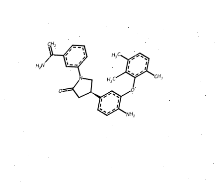 C=C(N)c1cccc(N2C[C@@H](c3ccc(N)c(Oc4c(C)ccc(C)c4C)c3)CC2=O)c1